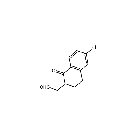 O=CCC1CCc2cc(Cl)ccc2C1=O